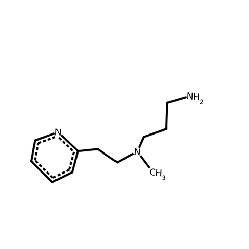 CN(CCCN)CCc1ccccn1